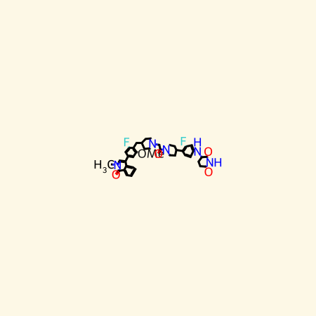 COc1cc(-c2cn(C)c(=O)c3ccccc23)cc(F)c1CC1CCN(CC(=O)N2CCC(c3ccc(NC4CCC(=O)NC4=O)cc3F)CC2)CC1